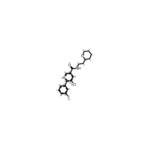 O=C(NCCC1CCCCO1)c1cnc(-c2cccc(F)c2)c(Cl)c1